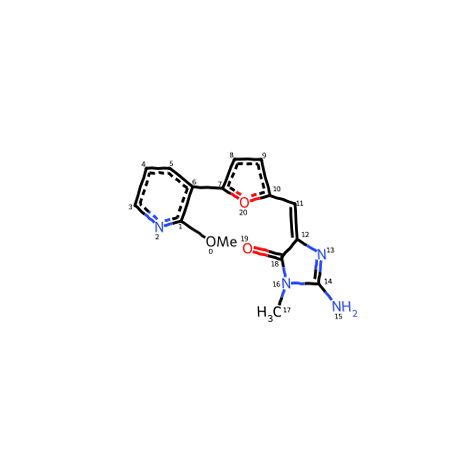 COc1ncccc1-c1ccc(C=C2N=C(N)N(C)C2=O)o1